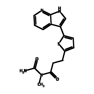 CN(C(N)=O)C(=O)C[CH]c1ccc(-c2c[nH]c3ncccc23)s1